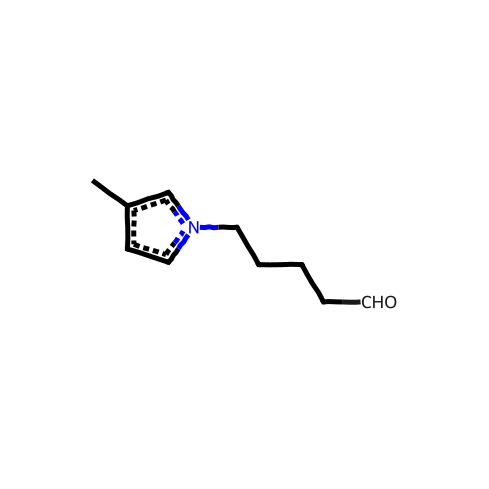 Cc1ccn(CCCCC=O)c1